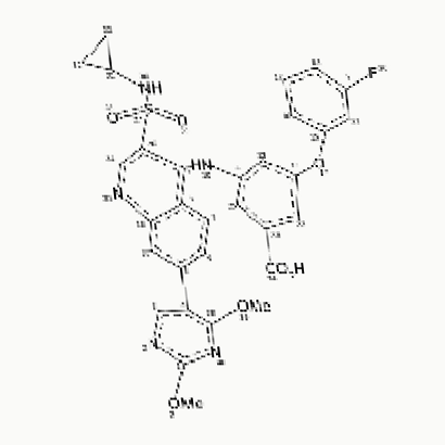 COc1ncc(-c2ccc3c(Nc4cc(Oc5cccc(F)c5)cc(C(=O)O)c4)c(S(=O)(=O)NC4CC4)cnc3c2)c(OC)n1